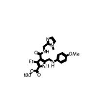 CCc1c(C(=O)OC(C)(C)C)[nH]c(CNc2ccc(OC)cc2)c1C(=O)NCc1nccn1C